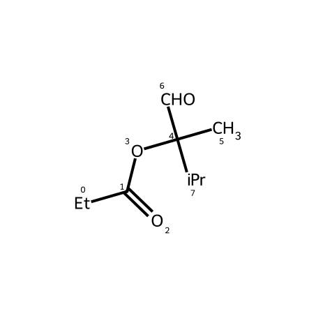 CCC(=O)OC(C)(C=O)C(C)C